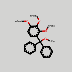 CCCCCOc1ccc(C(OCCCCC)(c2ccccc2)c2ccccc2)c(OCCCCC)c1OCCCCC